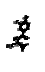 C[C@@H](NC(=O)c1ccc(Br)c(F)c1)C1CC1